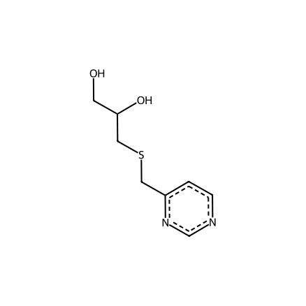 OCC(O)CSCc1ccncn1